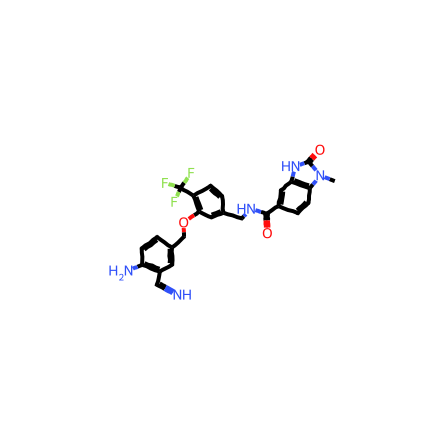 Cn1c(=O)[nH]c2cc(C(=O)NCc3ccc(C(F)(F)F)c(OCc4ccc(N)c(C=N)c4)c3)ccc21